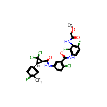 CCOCC(=O)Nc1c(F)ccc(NC(=O)c2cc(NC(=O)C3[C@H](c4ccc(F)c(C(F)(F)F)c4)C3(Cl)Cl)ccc2Cl)c1F